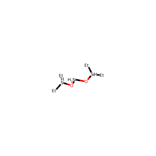 CC[SiH](CC)O[SiH2]O[SiH](CC)CC